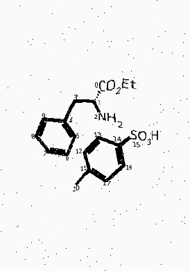 CCOC(=O)[C@H](N)Cc1ccccc1.Cc1ccc(S(=O)(=O)O)cc1